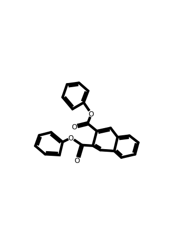 O=C(Oc1ccccc1)c1cc2ccccc2cc1C(=O)Oc1ccccc1